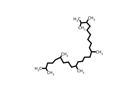 CC(C)CCCC(C)CCCC(C)CCCCC(C)CCCCCCC(C)C(C)C